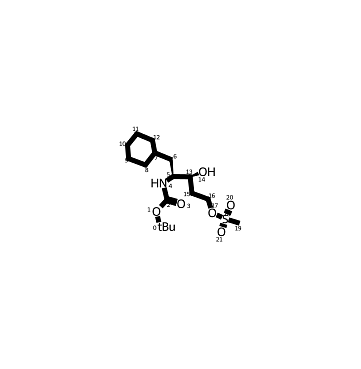 CC(C)(C)OC(=O)N[C@@H](CC1CCCCC1)[C@@H](O)CCOS(C)(=O)=O